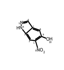 O=[N+]([O-])c1cc2[nH]ncc2cc1O